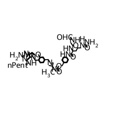 CCCCCNc1nc(N)nc2ccn(Cc3ccc(CN4CC(N(C)C(=O)OCc5ccc(NC(=O)C(CCCNC(N)=O)NC(=O)CNC=O)cc5)C4)cc3OC)c12